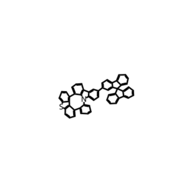 c1ccc2c(c1)-c1ccccc1C21c2ccccc2-c2ccc(-c3ccc4c(c3)c3cccc5c6cccc7sc8cccc(c9ccccc9n4c53)c8c76)cc21